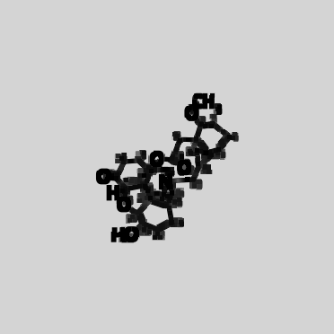 COc1ccccc1CC(=O)O[C@@]12CCC(=O)[C@@H]3Oc4c(O)ccc5c4[C@@]31CCN(CC1CC1)C2C5